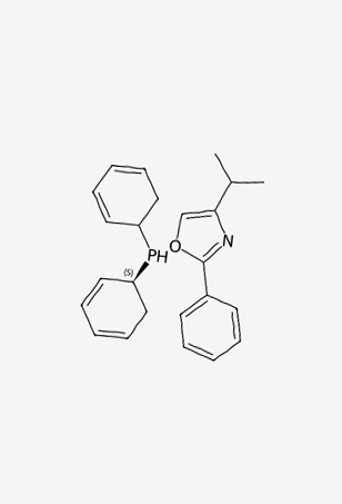 C1=CCC(P[C@@H]2C=CC=CC2)C=C1.CC(C)c1coc(-c2ccccc2)n1